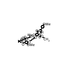 C=CCOC(=O)N1C[C@@H]2CC(c3ccc(OC)cc3)=CN2C(=O)c2cc(OC)c(OCCCCCOc3cc4c(cc3OC)C(=O)N3CC5(CC5)C[C@H]3C(O)N4C(=O)OCC=C)cc21